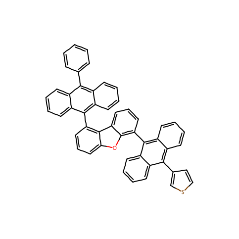 c1ccc(-c2c3ccccc3c(-c3cccc4oc5c(-c6c7ccccc7c(-c7ccsc7)c7ccccc67)cccc5c34)c3ccccc23)cc1